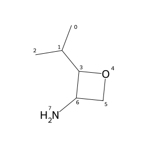 CC(C)C1OCC1N